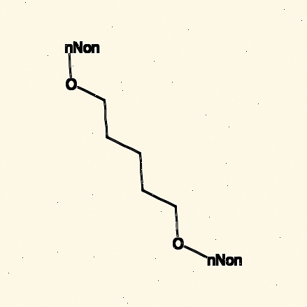 CCCCCCCCCOCCCCCOCCCCCCCCC